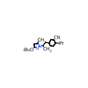 Cc1cc(OCC(C)C)nn1C(C)Cc1ccc(C(C)C)c(C#N)c1